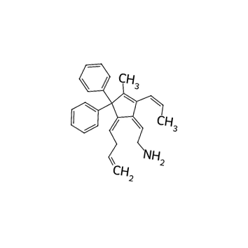 C=CC/C=C1\C(=C/CN)C(/C=C\C)=C(C)C1(c1ccccc1)c1ccccc1